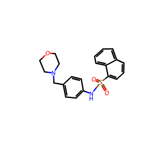 O=S(=O)(Nc1ccc(CN2CCOCC2)cc1)c1cccc2ccccc12